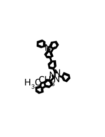 CC1(C)c2ccccc2-c2ccc(-c3nc(-c4ccccc4)nc(-c4ccc(-c5ccc6c(c5)c5ccccc5n6-c5ccccc5)cc4)n3)cc21